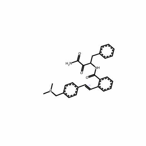 CN(C)Cc1ccc(/C=C/c2ccccc2C(=O)NC(Cc2ccccc2)C(=O)C(N)=O)cc1